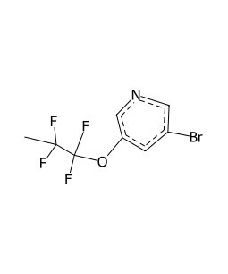 CC(F)(F)C(F)(F)Oc1cncc(Br)c1